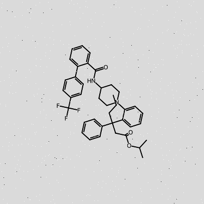 CCCC(CC(=O)OC(C)C)(c1ccccc1)c1ccccc1N1CCC(NC(=O)c2ccccc2-c2ccc(C(F)(F)F)cc2)CC1